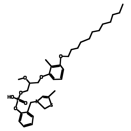 CCCCCCCCCCCCOc1cccc(OCC(COP(=O)(O)Oc2ccccc2CN2C=C(C)SC2)OC)c1C